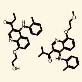 CCC(=O)c1cnc2c(OCCO)cccc2c1Nc1ccccc1C.COCCOc1cccc2c(Nc3ccccc3C)c(C(=O)C(C)C)cnc12